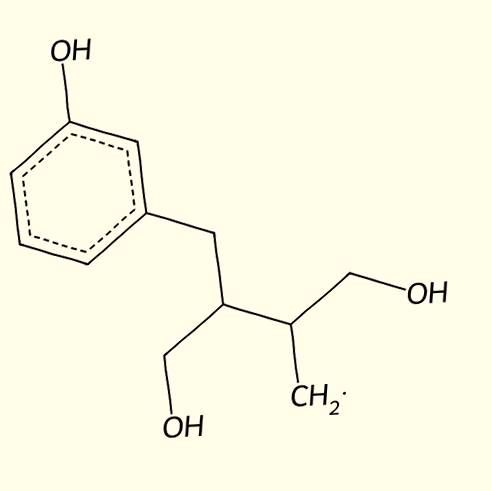 [CH2]C(CO)C(CO)Cc1cccc(O)c1